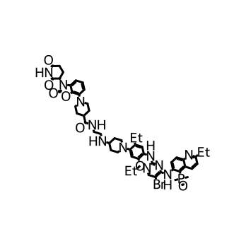 CCOc1cc(N2CCC(NCCNC(=O)C3CCN(c4cccc5c4oc(=O)n5C4CCC(=O)NC4=O)CC3)CC2)c(CC)cc1Nc1ncc(Br)c(Nc2ccc3nc(CC)ccc3c2P(C)(C)=O)n1